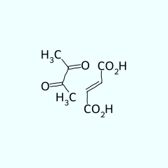 CC(=O)C(C)=O.O=C(O)C=CC(=O)O